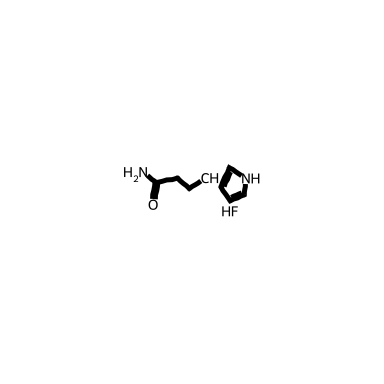 CCCC(N)=O.F.c1cc[nH]c1